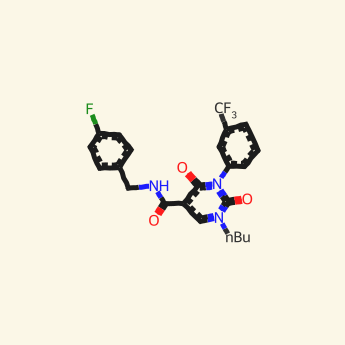 CCCCn1cc(C(=O)NCc2ccc(F)cc2)c(=O)n(-c2cccc(C(F)(F)F)c2)c1=O